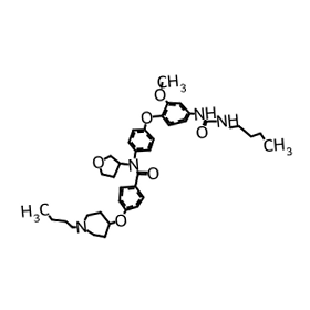 CCCCCNC(=O)Nc1ccc(Oc2ccc(N(C(=O)c3ccc(OC4CCN(CCCC)CC4)cc3)C3CCOC3)cc2)c(OC)c1